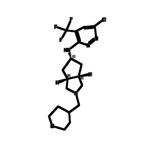 FC(F)(F)c1cc(Cl)nnc1N[C@@H]1C[C@@H]2CN(CC3CCOCC3)C[C@@H]2C1